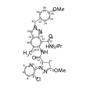 COC1=NN(c2ncccc2Cl)C(C(=O)Nc2c(C)cc3cn(Cc4ccc(OC)cc4)nc3c2C(=O)NC(C)C)C1